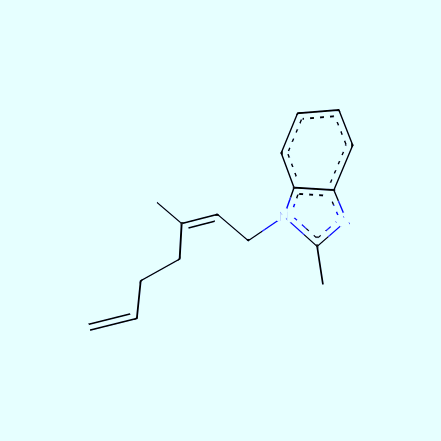 C=CCCC(C)=CCn1c(C)nc2ccccc21